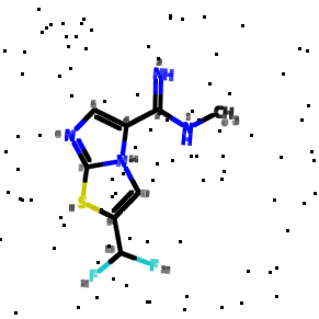 CNC(=N)c1cnc2sc(C(F)F)cn12